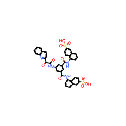 O=C(Nc1cc(C(=O)Nc2cccc3cc(S(=O)(=O)O)ccc23)cc(C(=O)Nc2cccc3cc(S(=O)(=O)O)ccc23)c1)C(=O)c1ccc2ccccc2n1